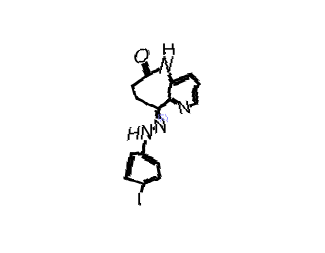 O=C1CC/C(=N\Nc2ccc(I)cc2)c2ncccc2N1